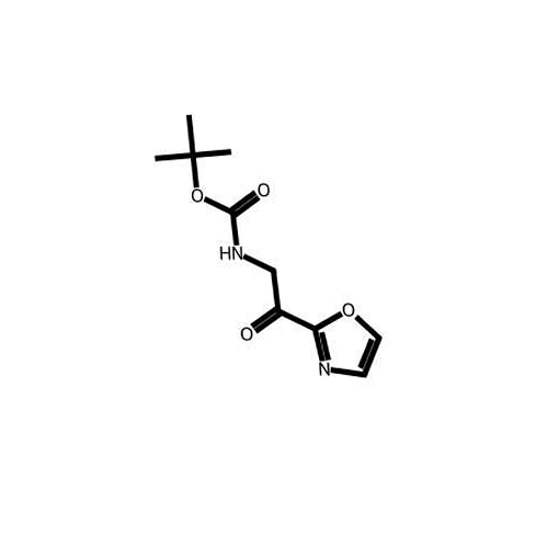 CC(C)(C)OC(=O)NCC(=O)c1ncco1